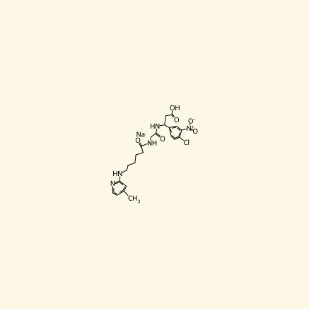 Cc1ccnc(NCCCCCC(=O)NCC(=O)NC(CC(=O)O)c2ccc(Cl)c([N+](=O)[O-])c2)c1.[Na]